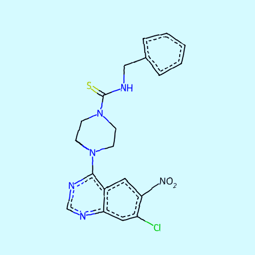 O=[N+]([O-])c1cc2c(N3CCN(C(=S)NCc4ccccc4)CC3)ncnc2cc1Cl